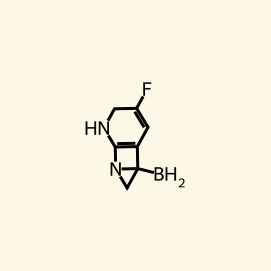 BC12CN1C1=C2C=C(F)CN1